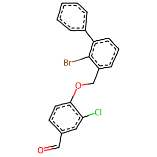 O=Cc1ccc(OCc2cccc(-c3ccccc3)c2Br)c(Cl)c1